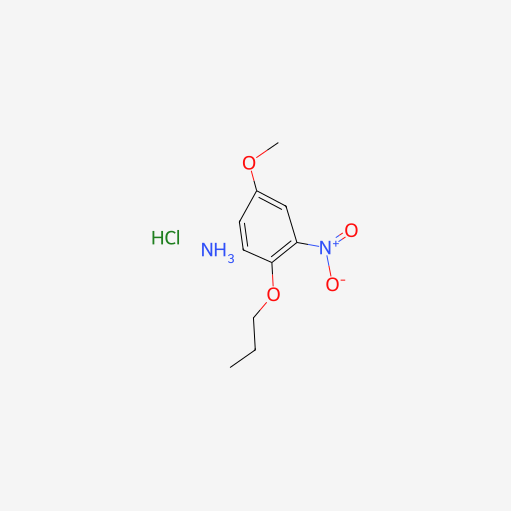 CCCOc1ccc(OC)cc1[N+](=O)[O-].Cl.N